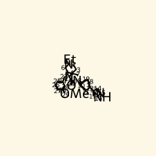 CCN1CCC2(CC1)CN(c1ccc(-c3cn[nH]c3)cc1)C(=O)N2Cc1cccc(OC)c1